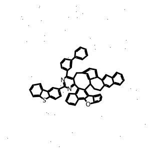 c1ccc(-c2cccc(-c3nc(-c4ccc5sc6ccccc6c5c4)nc4c3Cc3ccc5c(c3)C(CCc3cc6ccccc6cc3-5)c3c-4c4ccccc4c4oc5ccccc5c34)c2)cc1